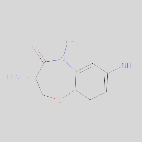 CN1C(=O)[C@@H](N)COC2CC=C(N)C=C21